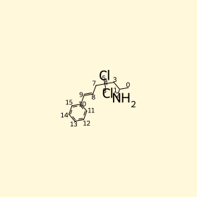 CC(N)CC(Cl)(Cl)C/C=C/c1ccccc1